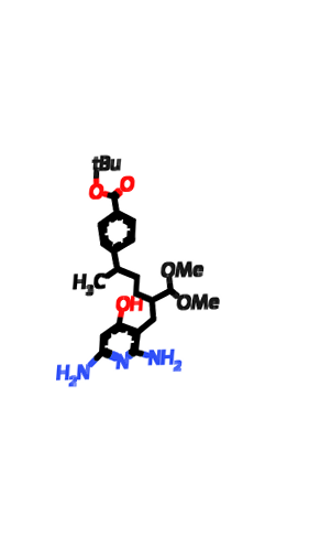 COC(OC)C(CCC(C)c1ccc(C(=O)OC(C)(C)C)cc1)Cc1c(O)cc(N)nc1N